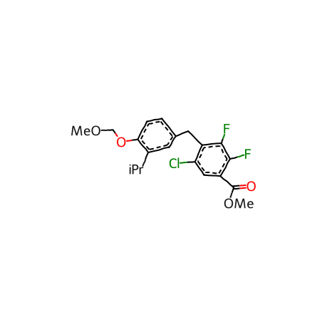 COCOc1ccc(Cc2c(Cl)cc(C(=O)OC)c(F)c2F)cc1C(C)C